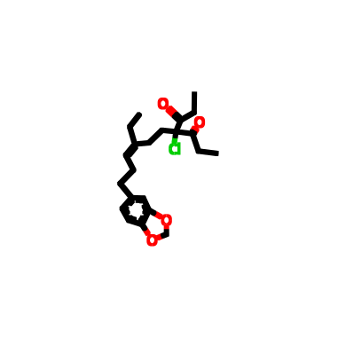 CCC(=O)C(Cl)(CCC(=CCCc1ccc2c(c1)OCO2)CC)C(=O)CC